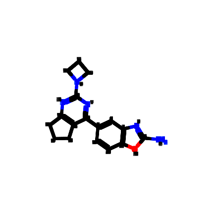 Nc1nc2cc(-c3nc(N4CCC4)nc4c3CCC4)ccc2o1